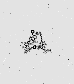 CC[C@H](C)[C@@H]([C@@H](CC(=O)N1CCC[C@H]1[C@H](OC)[C@@H](C)C(=O)N[C@@H](Cc1ccccc1)c1nccs1)OC)N(C)C(=O)[C@@H](NC(=O)[C@H](C(C)C)N(C)C(=O)OCc1ccc(NC(=O)[C@H](CCCNC(N)O)NC(=O)[C@@H](NC(=O)CCCCCON)C(C)C)cc1)C(C)C